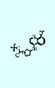 COc1cccc2c(NC3CCN(C(=O)OC(C)(C)C)C3)ccnc12